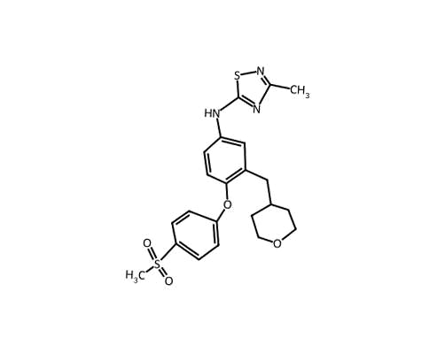 Cc1nsc(Nc2ccc(Oc3ccc(S(C)(=O)=O)cc3)c(CC3CCOCC3)c2)n1